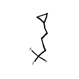 FC(F)(F)CCCC1[CH]C1